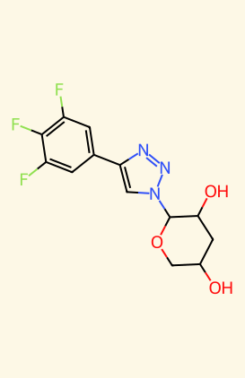 OC1COC(n2cc(-c3cc(F)c(F)c(F)c3)nn2)C(O)C1